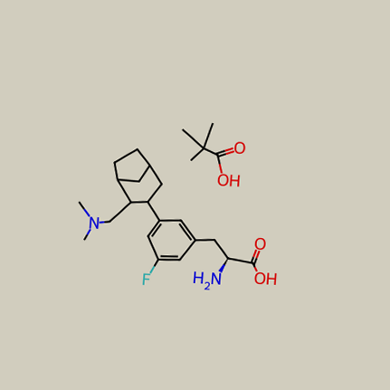 CC(C)(C)C(=O)O.CN(C)CC1C2CCC(C2)CC1c1cc(F)cc(C[C@H](N)C(=O)O)c1